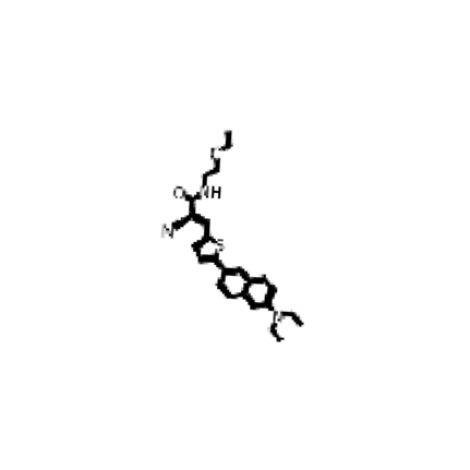 CCOCCNC(=O)/C(C#N)=C/c1ccc(-c2ccc3cc(N(CC)CC)ccc3c2)s1